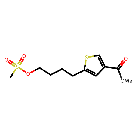 COC(=O)c1csc(CCCCOS(C)(=O)=O)c1